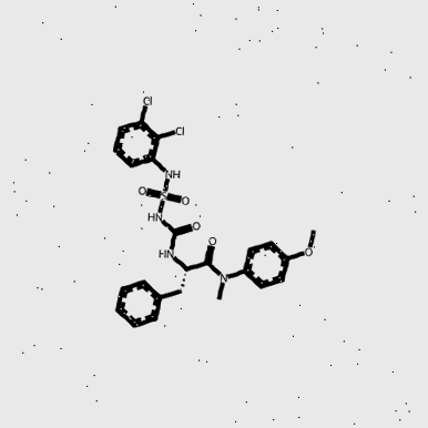 COc1ccc(N(C)C(=O)[C@H](Cc2ccccc2)NC(=O)NS(=O)(=O)Nc2cccc(Cl)c2Cl)cc1